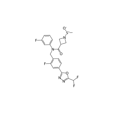 C[S+]([O-])N1CC(C(=O)N(Cc2ccc(-c3nnc(C(F)F)o3)cc2F)c2cccc(F)c2)C1